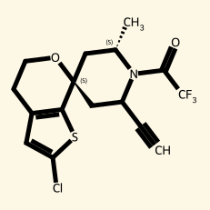 C#CC1C[C@]2(C[C@H](C)N1C(=O)C(F)(F)F)OCCc1cc(Cl)sc12